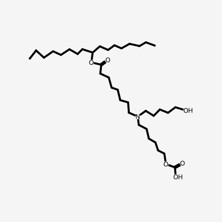 CCCCCCCCC(CCCCCCCC)OC(=O)CCCCCCCN(CCCCCO)CCCCCCOC(=O)O